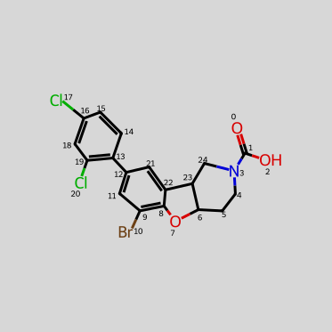 O=C(O)N1CCC2Oc3c(Br)cc(-c4ccc(Cl)cc4Cl)cc3C2C1